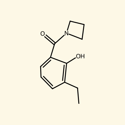 CCc1cccc(C(=O)N2CCC2)c1O